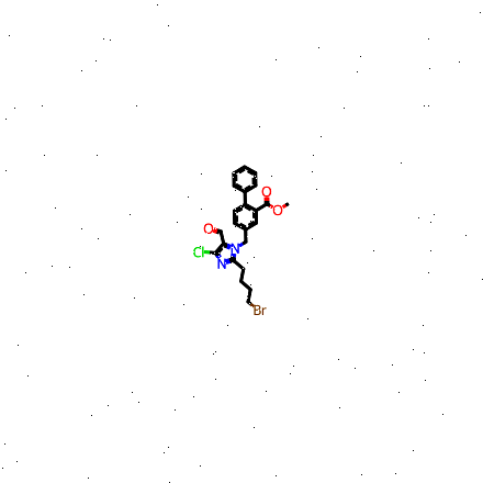 COC(=O)c1cc(Cn2c(CCCCBr)nc(Cl)c2C=O)ccc1-c1ccccc1